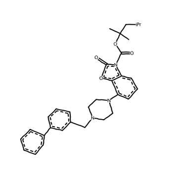 CC(C)CC(C)(C)OC(=O)n1c(=O)oc2c(N3CCN(Cc4cccc(-c5ccccc5)c4)CC3)cccc21